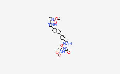 COC(=O)NC(C(=O)N1CC(=O)CC1c1nc(-c2ccc(-c3ccc4cc(-c5cnc(C6CCCN6C(=O)OC(C)(C)C)[nH]5)ccc4c3)cc2)c[nH]1)C(C)C